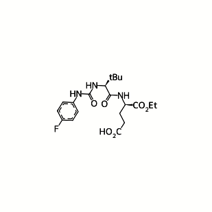 CCOC(=O)[C@@H](CCC(=O)O)NC(=O)[C@@H](NC(=O)Nc1ccc(F)cc1)C(C)(C)C